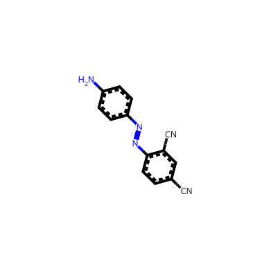 N#Cc1ccc(/N=N/c2ccc(N)cc2)c(C#N)c1